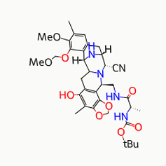 COCOc1c(OC)c(C)cc2c1[C@@H]1N[C@H](C2)[C@H](C#N)N2C1Cc1c(O)c(C)c3c(c1[C@@H]2CNC(=O)[C@H](C)NC(=O)OC(C)(C)C)OCO3